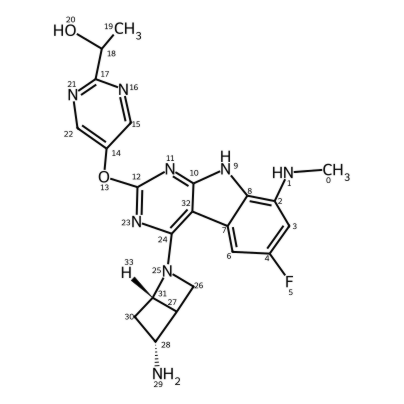 CNc1cc(F)cc2c1[nH]c1nc(Oc3cnc(C(C)O)nc3)nc(N3CC4[C@H](N)C[C@@H]43)c12